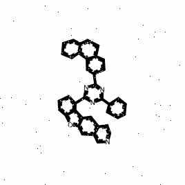 c1ccc(-c2nc(-c3ccc4ccc5ccccc5c4c3)nc(-c3cccc4oc5cc6cnccc6cc5c34)n2)cc1